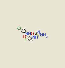 Cc1cc(F)c(C(=O)Nc2ccc(Cl)cc2)cc1NC(=O)c1cnc(N)s1